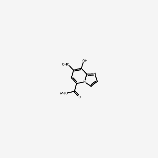 COC(=O)c1cc(C=O)c(O)c2nccn12